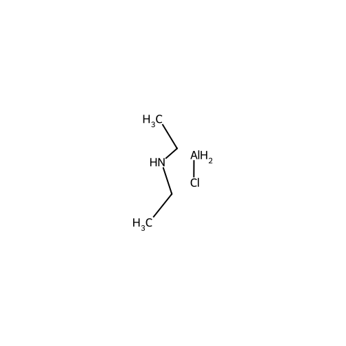 CCNCC.[AlH2][Cl]